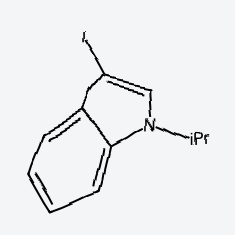 CC(C)n1cc(I)c2ccccc21